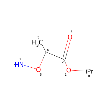 CC(C)OC(=O)C(C)O[NH]